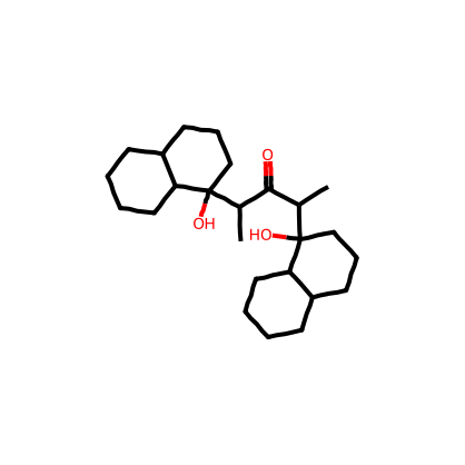 CC(C(=O)C(C)C1(O)CCCC2CCCCC21)C1(O)CCCC2CCCCC21